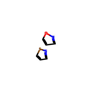 c1cnoc1.c1cnsc1